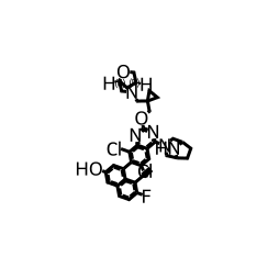 C#Cc1c(F)ccc2cc(O)cc(-c3c(Cl)cc4c(N5CC6CCC(C5)N6)nc(OCC5(CN6C[C@H]7C[C@@H]6CO7)CC5)nc4c3Cl)c12